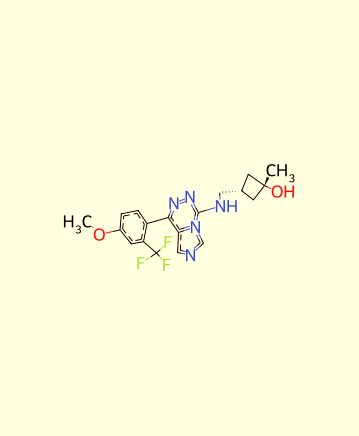 COc1ccc(-c2nnc(NC[C@H]3C[C@@](C)(O)C3)n3cncc23)c(C(F)(F)F)c1